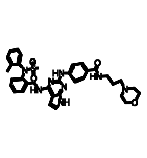 Cc1ccccc1N(c1ccccc1CNc1nc(Nc2ccc(C(=O)NCCCN3CCOCC3)cc2)nc2[nH]ccc12)S(C)(=O)=O